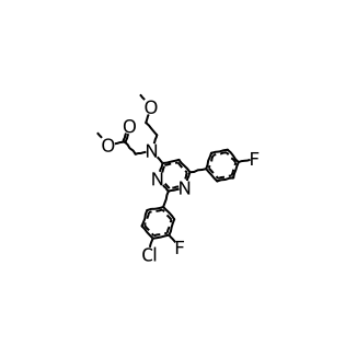 COCCN(CC(=O)OC)c1cc(-c2ccc(F)cc2)nc(-c2ccc(Cl)c(F)c2)n1